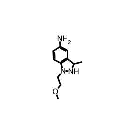 COCCN1NC(C)c2cc(N)ccc21